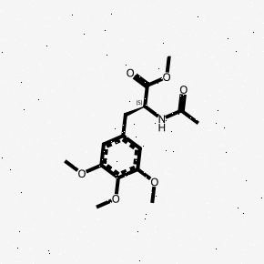 COC(=O)[C@H](Cc1cc(OC)c(OC)c(OC)c1)NC(C)=O